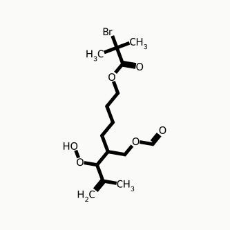 C=C(C)C(OO)C(CCCCOC(=O)C(C)(C)Br)COC=O